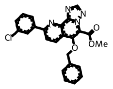 COC(=O)c1c(OCc2ccccc2)c2ccc(-c3cccc(Cl)c3)nc2c2ncnn12